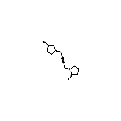 O=C1CCCN1CC#CCN1CCC(O)C1